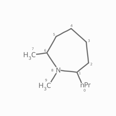 CCCC1CCCCC(C)N1C